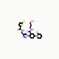 O=C(NCc1cn(-c2ccc(-n3ccccc3=O)cc2C(=O)NCCCO)nn1)c1ccc(Cl)s1